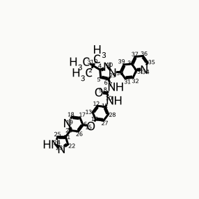 CC(C)(C)c1cc(NC(=O)Nc2ccc(Oc3ccnc(-c4cn[nH]c4)c3)cc2)n(-c2ccc3ncccc3c2)n1